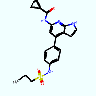 CCCS(=O)(=O)Nc1ccc(-c2cc(NC(=O)C3CC3)nc3[nH]ccc23)cc1